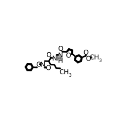 CCCCCC(CN(C=O)OCc1ccccc1)C(=O)NCNC(=O)c1ccc(-c2cccc(C(=O)OC)c2)o1